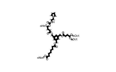 CCCCCCCCCOC(=O)CCCCCCC(=O)OCc1cc(COC(=O)CCC(CCCCCC)OC(=O)NCCN2CCCC2)cc(COC(=O)CCC(OCCCCCCCC)OCCCCCCCC)c1